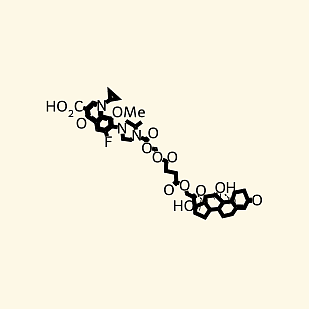 COc1c(N2CCN(C(=O)OCOC(=O)CCC(=O)OCC(=O)[C@@]3(O)CCC4C5CCC6=CC(=O)CC[C@]6(C)C5[C@@H](O)C[C@@]43C)C(C)C2)c(F)cc2c(=O)c(C(=O)O)cn(C3CC3)c12